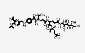 CC(=O)c1nc(CNc2ccc(C(=O)N[C@@H](CCC(=O)N[C@@H](CCC(=O)NC[C@H](O)[C@@H](O)[C@H](O)[C@H](O)CO)C(=O)N[C@@H](CCC(=O)O)C(C)=O)C(=O)O)cc2)cnc1N=C(C)C